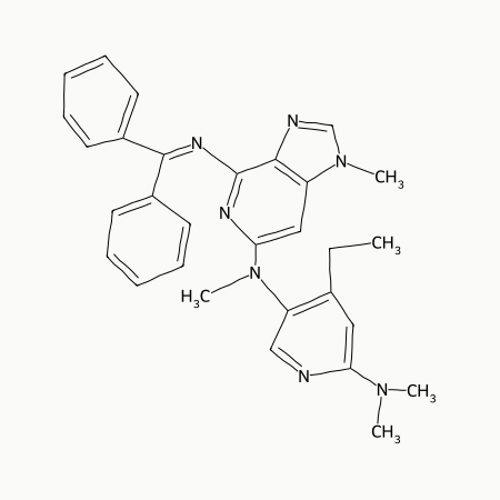 CCc1cc(N(C)C)ncc1N(C)c1cc2c(ncn2C)c(N=C(c2ccccc2)c2ccccc2)n1